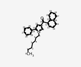 CCCCCCCn1cc(C(=O)c2cccc3ccccc23)cc1-c1ccccc1